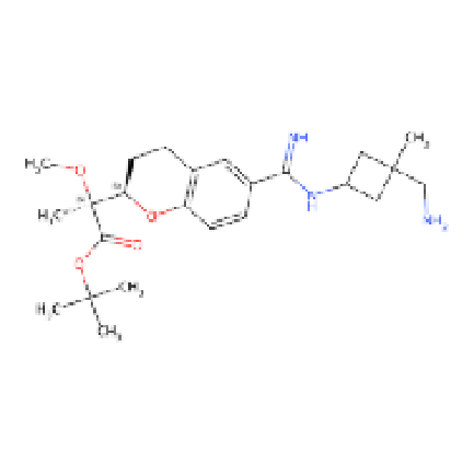 CO[C@](C)(C(=O)OC(C)(C)C)[C@H]1CCc2cc(C(=N)NC3CC(C)(CN)C3)ccc2O1